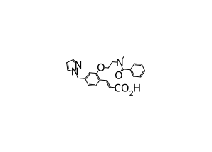 CN(CCOc1cc(Cn2cccn2)ccc1C=CC(=O)O)C(=O)c1ccccc1